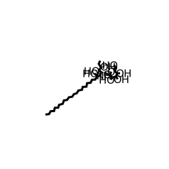 CCCCCCCCCCCCCCCCCCCCCCC(O)N[C@@H](COC1OC(CO)C(O)C(O)C1O)[C@H](O)[C@H](O)CC